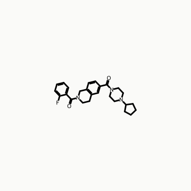 O=C(c1ccc2c(c1)CCN(C(=O)c1ccccc1F)C2)N1CCN(C2CCCC2)CC1